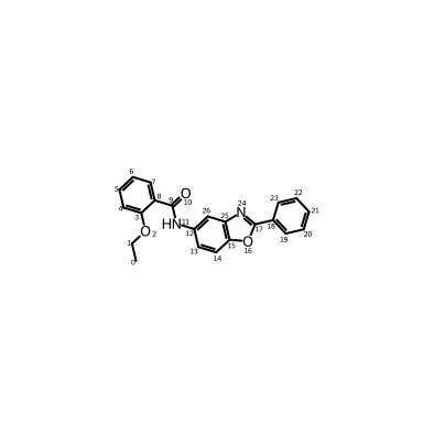 CCOc1ccccc1C(=O)Nc1ccc2oc(-c3ccccc3)nc2c1